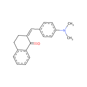 CN(C)c1ccc(C=C2CCc3ccccc3C2=O)cc1